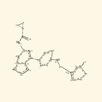 O=C(Nc1nc(-c2ccc(NCc3cccc(F)c3)cc2)c2cc[nH]c2n1)C1CC1